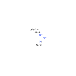 [Mn+2].[Mn+2].[Mn+2].[N-3].[N-3].[N]